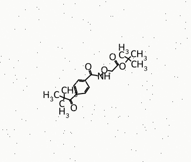 CC(C)(C)OC(=O)CONC(=O)c1ccc(C(=O)C(C)(C)C)cc1